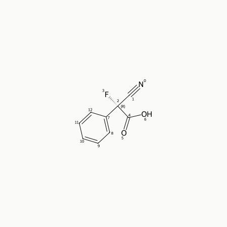 N#C[C@@](F)(C(=O)O)c1ccccc1